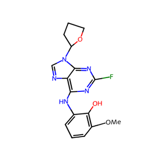 COc1cccc(Nc2nc(F)nc3c2ncn3C2CCCO2)c1O